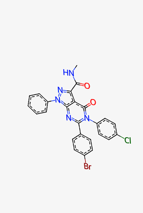 CNC(=O)c1nn(-c2ccccc2)c2nc(-c3ccc(Br)cc3)n(-c3ccc(Cl)cc3)c(=O)c12